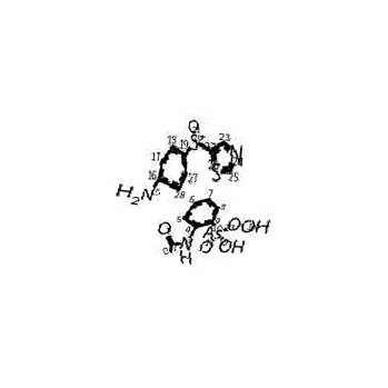 CC(=O)Nc1ccccc1[As](=O)(O)OO.Nc1ccc([S+]([O-])c2cncs2)cc1